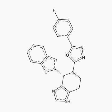 Fc1ccc(-c2nnc(N3CCc4[nH]cnc4[C@@H]3c3cc4ccccc4o3)o2)cc1